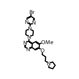 COc1cc2c(N3CCN(c4ncc(Br)cn4)CC3)ncnc2cc1OCCCN1CCCC1